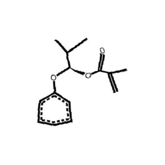 C=C(C)C(=O)O[C@@H](Oc1ccccc1)C(C)C